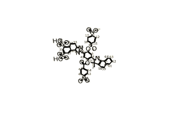 CC1(C)C(c2cc(OC(=O)c3ccc([N+](=O)[O-])cc3)c(-n3nc4ccc5c(S(=O)(=O)O)cc(S(=O)(=O)O)cc5c4n3)cc2OC(=O)c2ccc([N+](=O)[O-])cc2)=Nc2c1ccc1ccccc21